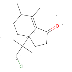 CC1=C2C(=O)CCC2(C(C)(C)CCl)CCC1C